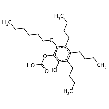 CCCCCCOc1c(CCCC)c(CCCC)c(CCCC)c(O)c1OC(=O)O